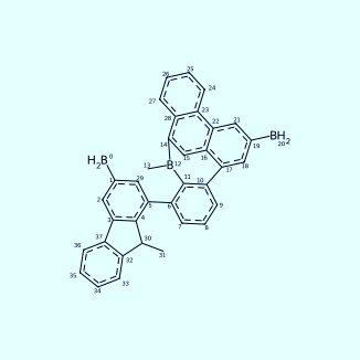 Bc1cc2c(c(-c3cccc4c3B(C)c3cc5c-4cc(B)cc5c4ccccc34)c1)C(C)c1ccccc1-2